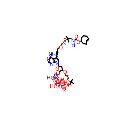 CC(C)(C)SSCOC1C[C@H](n2cc(C#CCOCSSC(C)(C)CNC(=O)OC3CC/C=C/CCC3)c3c(N)ncnc32)O[C@@H]1CO[PH](O)(O)OP(=O)(O)OP(=O)(O)O